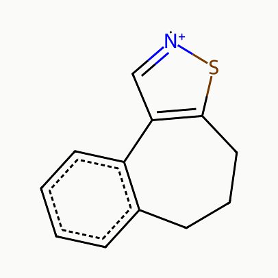 C1=[N+]SC2=C1c1ccccc1CCC2